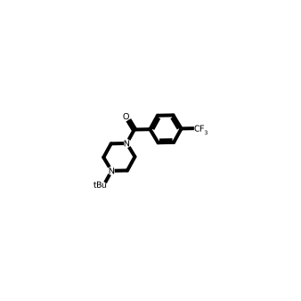 CC(C)(C)N1CCN(C(=O)c2ccc(C(F)(F)F)cc2)CC1